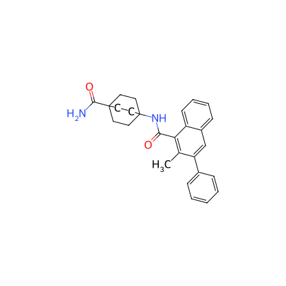 Cc1c(-c2ccccc2)cc2ccccc2c1C(=O)NC12CCC(C(N)=O)(CC1)CC2